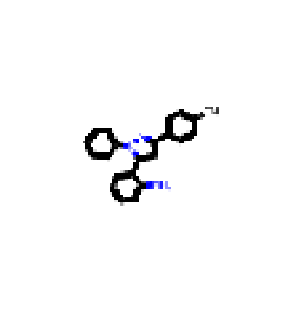 N#Cc1ccc(-c2cc(-c3ccccc3N)n(-c3ccccc3)n2)cc1